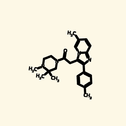 Cc1ccc(-c2nc3ccc(C)cn3c2CC(=O)N2CCN(C)C(C)(C)C2)cc1